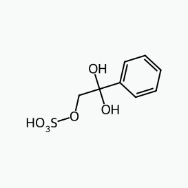 O=S(=O)(O)OCC(O)(O)c1ccccc1